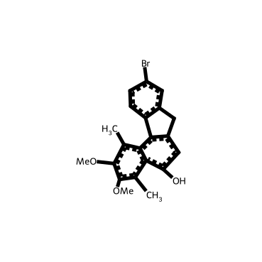 COc1c(OC)c(C)c2c3c(cc(O)c2c1C)Cc1cc(Br)ccc1-3